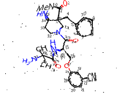 CNC(=O)[C@]1(Cc2ccccc2)CN(C(=O)[C@@H](COc2cccc(C#N)c2)NC(=O)C(C)(C)N)CCC1=N